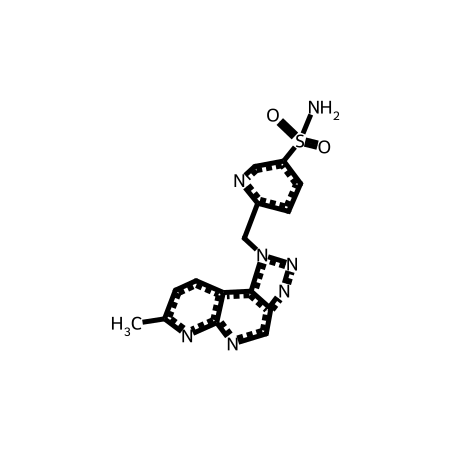 Cc1ccc2c(ncc3nnn(Cc4ccc(S(N)(=O)=O)cn4)c32)n1